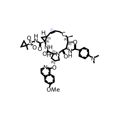 COc1ccc2c(O[C@@H]3C[C@H]4C(=O)N[C@]5(C(=O)NS(=O)(=O)C6(C)CC6)C[C@H]5/C=C\CC[C@@H](C)[C@@H](C)[C@H](NC(=O)c5ccc(N(C)C)cc5)C(=O)N4C3)nccc2c1